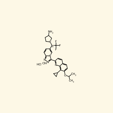 CC(C)Oc1ccc2ccc(-c3nnc4ccc([C@@H](N5CCC(N)C5)C(F)(F)F)cn34)nc2c1C1CC1.Cl.Cl